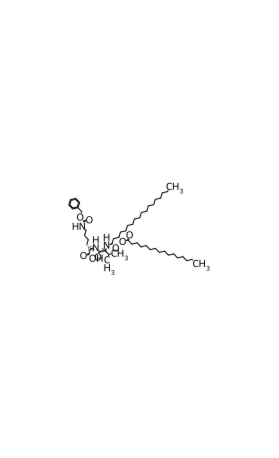 CCCCCCCCCCCCCCCC(=O)OC(CCCCCCCCCCCCCCC)CC(=O)N[C@H](C(=O)N[C@@H](CCCCNC(=O)OCc1ccccc1)C(=O)O)C(C)C